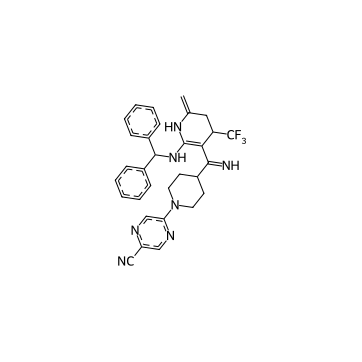 C=C1CC(C(F)(F)F)C(C(=N)C2CCN(c3cnc(C#N)cn3)CC2)=C(NC(c2ccccc2)c2ccccc2)N1